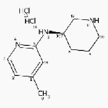 Cc1ccnc(N[C@@H]2CCCNC2)c1.Cl.Cl